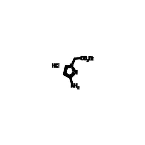 CCOC(=O)Cn1ccc(N)n1.Cl